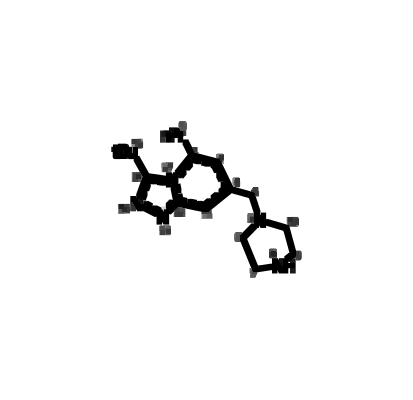 CCCc1cc(CN2CCNCC2)cc2nnc(C(C)(C)C)n12